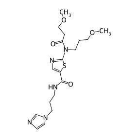 COCCCN(C(=O)CCOC)c1ncc(C(=O)NCCCn2ccnc2)s1